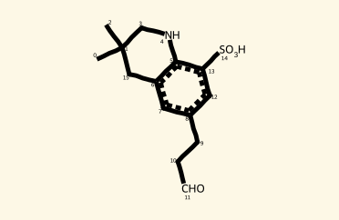 CC1(C)CNc2c(cc(CCC=O)cc2S(=O)(=O)O)C1